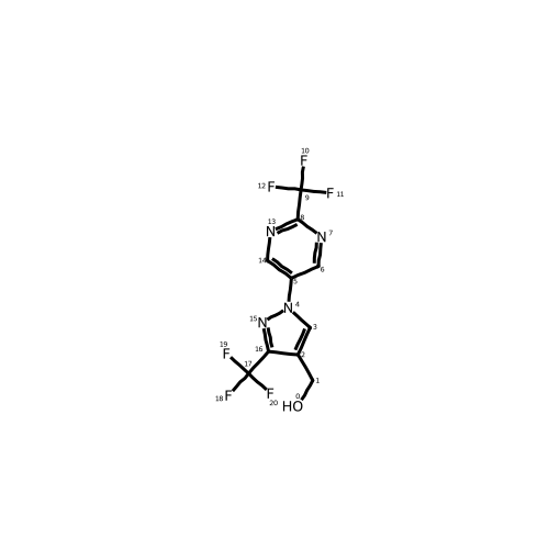 OCc1cn(-c2cnc(C(F)(F)F)nc2)nc1C(F)(F)F